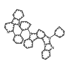 c1ccc(-n2c3ccc4c(c5ccccc5n4-c4ccccc4-c4ccccc4-c4nccc5c4oc4ccccc45)c3n3c4ccccc4nc23)cc1